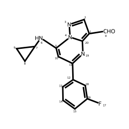 O=Cc1cnn2c(NC3CC3)cc(-c3cccc(F)c3)nc12